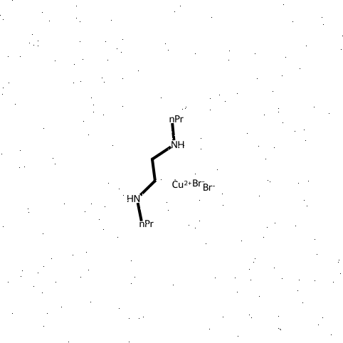 CCCNCCNCCC.[Br-].[Br-].[Cu+2]